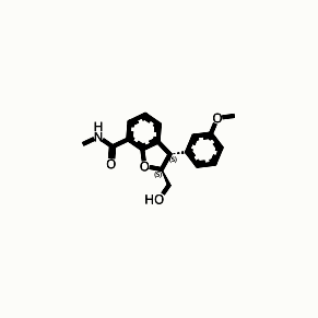 CNC(=O)c1cccc2c1O[C@H](CO)[C@H]2c1cccc(OC)c1